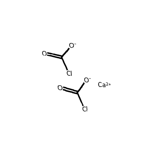 O=C([O-])Cl.O=C([O-])Cl.[Ca+2]